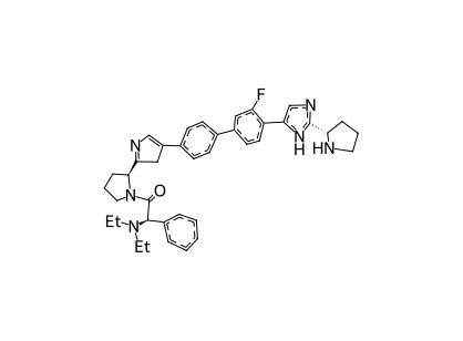 CCN(CC)[C@@H](C(=O)N1CCC[C@H]1C1=NC=C(c2ccc(-c3ccc(-c4cnc([C@@H]5CCCN5)[nH]4)c(F)c3)cc2)C1)c1ccccc1